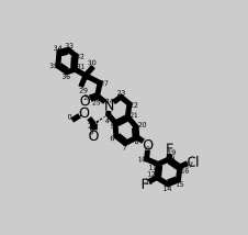 COC(=O)[C@H]1c2ccc(OCc3c(F)ccc(Cl)c3F)cc2CCN1C(=O)CC(C)(C)c1ccccc1